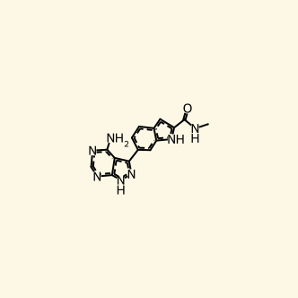 CNC(=O)c1cc2ccc(-c3n[nH]c4ncnc(N)c34)cc2[nH]1